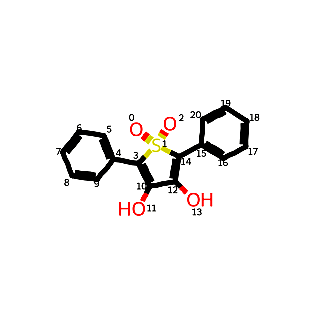 O=S1(=O)C(c2ccccc2)=C(O)C(O)=C1c1ccccc1